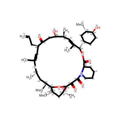 C=CC[C@@H]1/C=C(\C)C[C@@H](C)C[C@H](OC)[C@H]2O[C@@](O)(C(=O)C(=O)N3CCCCC3C(=O)OC([C@H]3CC[C@H](O)[C@@H](OC)C3)/C(C)=C/[C@H](C)[C@H](O)CC1=O)[C@H](C)C[C@@H]2OC